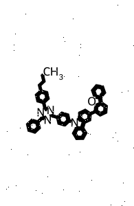 CCCCc1ccc(-c2nc(-c3ccccc3)nc(-c3ccc(-n4c5ccccc5c5cc(-c6cccc7c6oc6ccccc67)ccc54)cc3)n2)cc1